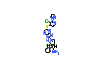 NC[C@]1(c2ccccc2F)[C@@H]2CCN(c3nc4nc(Sc5ccnc(-n6cccn6)c5Cl)cnc4[nH]3)C[C@@H]21